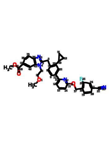 COCCn1c(Cc2ccc(-c3cccc(OCc4ccc(C#N)cc4F)n3)cc2C2CC2)nc2ccc(C(=O)OC)cc21